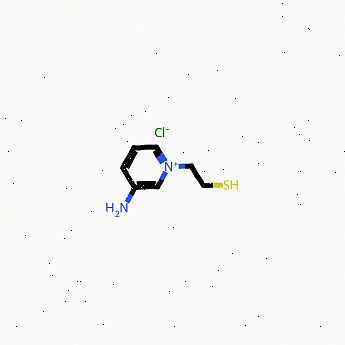 Nc1ccc[n+](CCS)c1.[Cl-]